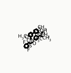 COc1ccc(-c2ccc(SC)cc2)cc1CN(C(=O)c1sc2c(F)ccc(F)c2c1Cl)C1CCC(C(NC(=O)O)C(C)(C)C)CC1